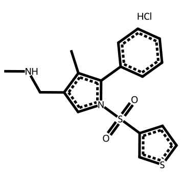 CNCc1cn(S(=O)(=O)c2ccsc2)c(-c2ccccc2)c1C.Cl